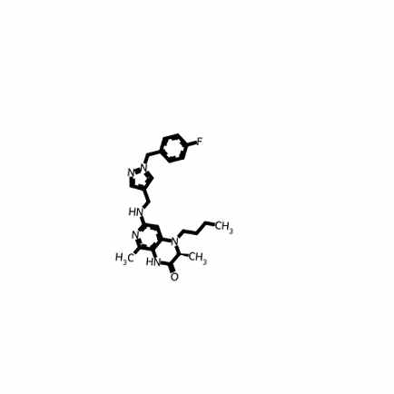 CCCCN1c2cc(NCc3cnn(Cc4ccc(F)cc4)c3)nc(C)c2NC(=O)[C@@H]1C